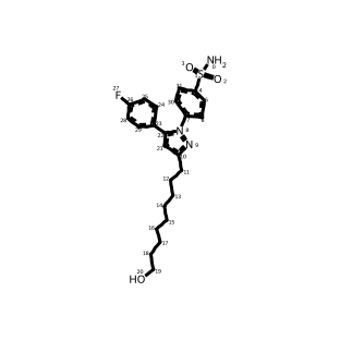 NS(=O)(=O)c1ccc(-n2nc(CCCCCCCCCO)cc2-c2ccc(F)cc2)cc1